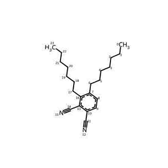 CCCCCCCc1ccc(C#N)c(C#N)c1CCCCCCC